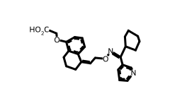 O=C(O)COc1cccc2c1CCC/C2=C/CO/N=C(\c1cccnc1)C1CCCCC1